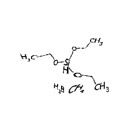 B.C.CCO[SiH](OCC)OCC